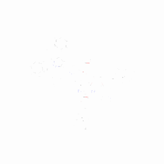 CC(C)(C)[C@H](c1cc(-c2cc(F)ccc2F)cn1Cc1ccccc1)N(CC[C@H](NC(=O)OCC[Si](C)(C)C)C(=O)N[C@H](CN)C(=O)OCC[Si](C)(C)C)CC(O)C=O